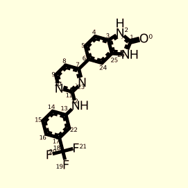 O=c1[nH]c2ccc(-c3ccnc(Nc4cccc(C(F)(F)F)c4)n3)cc2[nH]1